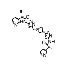 C#C[C@H](C(=O)Nc1nnc(C[C@H]2CC[C@@H](c3nnc(NC(=O)[C@@H](C)c4cccnc4)s3)C2)s1)c1cccnc1